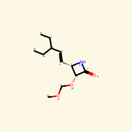 CCC(/C=C/[C@@H]1NC(=O)[C@@H]1OCOC)CC